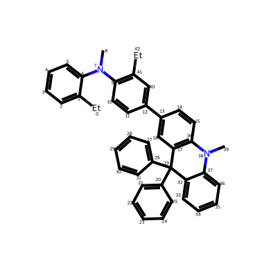 CCc1ccccc1N(C)c1ccc(-c2ccc3c(c2)C(c2ccccc2)(c2ccccc2)c2ccccc2N3C)cc1CC